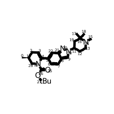 C[C@H]1CC=C(c2ccc3cn(C4CCN(C)C(C)(C)C4)nc3c2)N(C(=O)OC(C)(C)C)C1